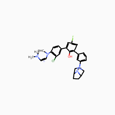 CC(C)N1C2CCC1CN(c1cccc(-c3cc(F)cc(-c4ccc(N(C=O)/C=C\N(C)C)c(Cl)c4)c3O)c1)C2